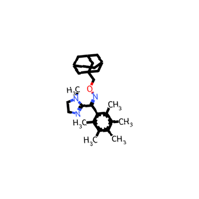 Cc1c(C)c(C)c(C(=NOCC23CC4CC(CC(C4)C2)C3)C2=NCCN2C)c(C)c1C